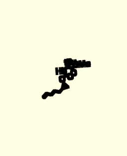 C=CCCC[C@@H]1C[C@H]1OC(=O)N[C@H](C(=O)OC)C(C)(C)C